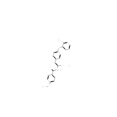 CCOc1ccc(C(=O)NC(=Cc2ccc(Oc3ccccc3Br)cc2)C(=O)O)cc1